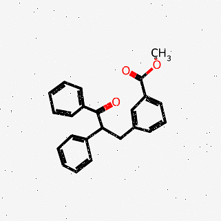 COC(=O)c1cccc(CC(C(=O)c2ccccc2)c2ccccc2)c1